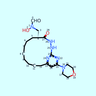 O=CN(O)C[C@H]1CCCCCCCCc2cc(N3CCOCC3)nc(n2)NNC1=O